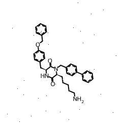 NCCCCC[C@H]1C(=O)N[C@@H](Cc2ccc(OCc3ccccc3)cc2)C(=O)N1Cc1ccc(-c2ccccc2)cc1